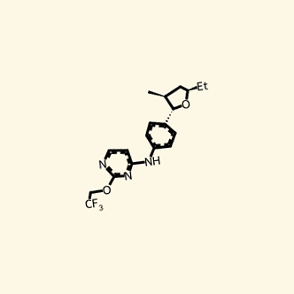 CC[C@@H]1C[C@H](C)[C@@H](c2ccc(Nc3ccnc(OCC(F)(F)F)n3)cc2)O1